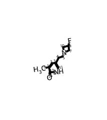 Cc1cc(CCN2CC(F)C2)c[nH]c1=O